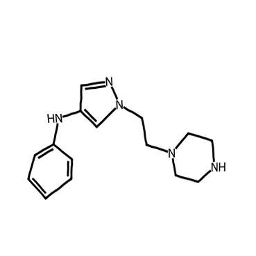 c1ccc(Nc2cnn(CCN3CCNCC3)c2)cc1